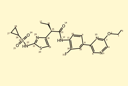 CCOc1cncc(-c2ccc(NC(=O)[C@H](CC)c3csc(NS(=O)(=O)C4CC4)n3)c(F)c2)n1